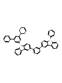 C1=CCC(c2cc(-c3ccccc3)cc(-n3c4ccccc4c4cc(-c5cccc(-c6ccc7c(c6)c6ccccc6n7-c6ccccc6)c5)ccc43)c2)CC1